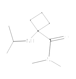 CC(C)NC1(C(=O)N(C)C)CCC1